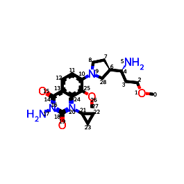 COCC[C@@H](N)[C@@H]1CCN(c2ccc3c(=O)n(N)c(=O)n(C4CC4)c3c2OC)C1